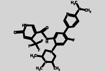 CC1CN(c2cc(F)c(-c3ccc(N(C)C)nc3)cc2NC(=O)c2c[nH]c(=O)cc2C(F)(F)F)CC(C)N1C